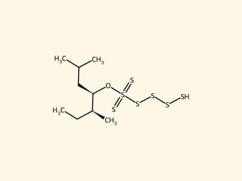 CC[C@H](C)[C@@H](CC(C)C)OS(=S)(=S)SSSS